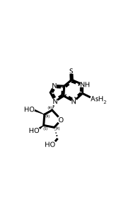 OC[C@H]1O[C@@H](n2cnc3c(=S)[nH]c([AsH2])nc32)[C@H](O)[C@@H]1O